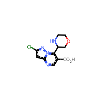 O=C(O)c1cnc2cc(Cl)nn2c1C1COCCN1